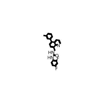 Cc1cccc(-c2ccc(CNC(=O)Nc3ccc(F)cc3F)c3ncccc23)c1